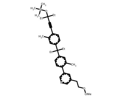 CCC(C#Cc1ccc(C(CC)(CC)c2ccc(-c3cncc(CCOOC)c3)c(C)c2)cc1C)(CC)O[Si](C)(C)C